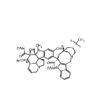 CC[C@]12C=CCN3CC[C@@]4(c5cc([C@@]6(C(=O)OC)C[C@@H]7C[C@H](C(C)(F)F)C[N@@](Cc8c6[nH]c6ccccc86)C7)c(OC)cc5N(C)[C@H]4[C@@](O)(C(=O)OC)[C@@H]1OC(C)=O)C32